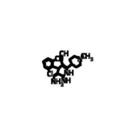 C#CC1=C(C2CCN(C)CC2)NC(=N)/C(=C\N)C1c1c(Cl)cccc1Cl